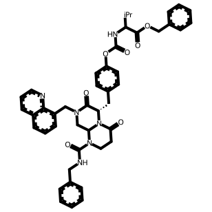 CC(C)C(NC(=O)Oc1ccc(C[C@H]2C(=O)N(Cc3cccc4cccnc34)CC3N(C(=O)NCc4ccccc4)CCC(=O)N32)cc1)C(=O)OCc1ccccc1